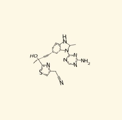 CC1Nc2ccc(C#CC(C)(O)c3nc(CC#N)cs3)cc2N1c1ncnc(N)n1